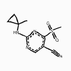 CC1(Nc2ncc(C#N)c(S(C)(=O)=O)n2)CC1